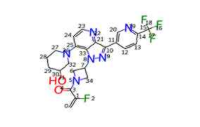 C=C(F)C(=O)N1CC(n2nc(-c3ccc(C(F)(F)F)nc3)c3nccc(N4CCCC(O)C4)c32)C1